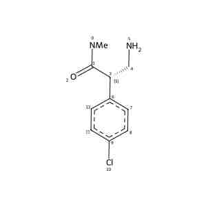 CNC(=O)[C@H](CN)c1ccc(Cl)cc1